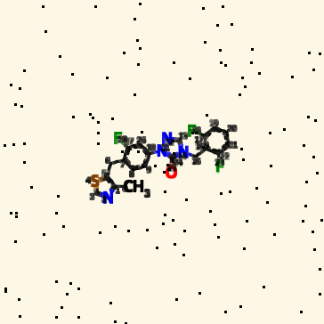 Cc1ncsc1Cc1ccc(-n2ncn(Cc3c(F)cccc3F)c2=O)cc1F